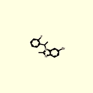 Cc1nc2ccc(Br)cc2n1C(C)c1ccccc1F